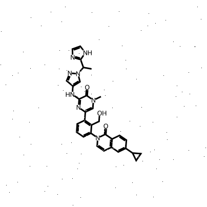 CC(c1ncc[nH]1)n1cc(Nc2nc(-c3cccc(-n4ccc5cc(C6CC6)ccc5c4=O)c3CO)cn(C)c2=O)cn1